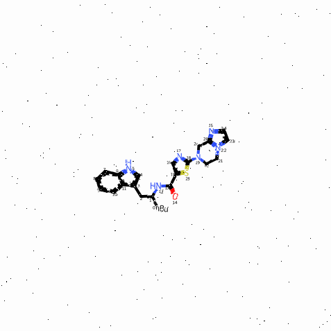 CCCCC(Cc1c[nH]c2ccccc12)NC(=O)c1cnc(N2CCn3ccnc3C2)s1